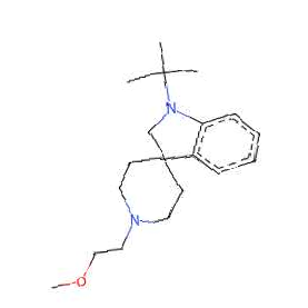 COCCN1CCC2(CC1)CN(C(C)(C)C)c1ccccc12